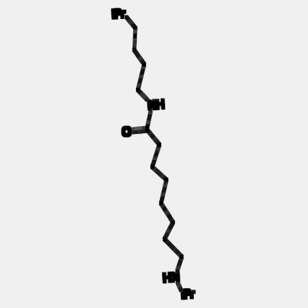 CC(C)CCCCNC(=O)CCCCCCCNC(C)C